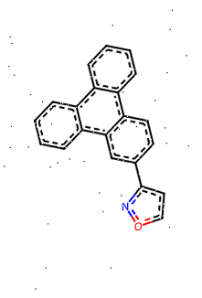 c1ccc2c(c1)c1ccccc1c1cc(-c3ccon3)ccc21